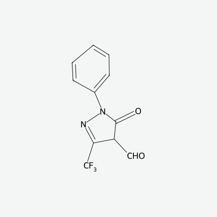 O=CC1C(=O)N(c2ccccc2)N=C1C(F)(F)F